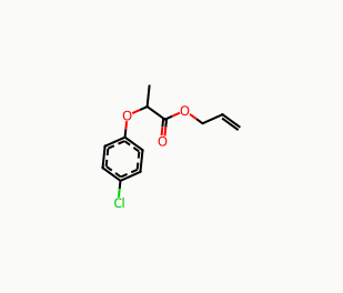 C=CCOC(=O)C(C)Oc1ccc(Cl)cc1